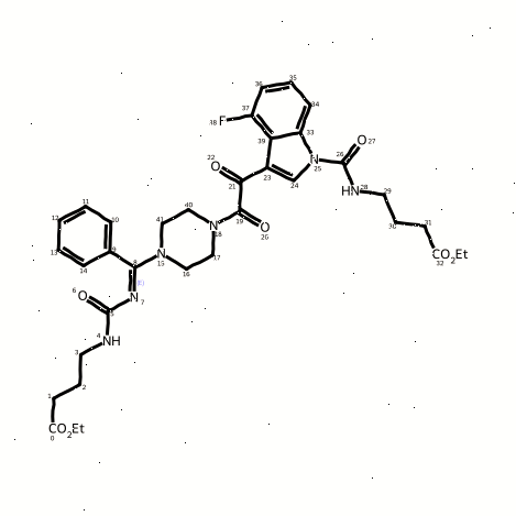 CCOC(=O)CCCNC(=O)/N=C(\c1ccccc1)N1CCN(C(=O)C(=O)c2cn(C(=O)NCCCC(=O)OCC)c3cccc(F)c23)CC1